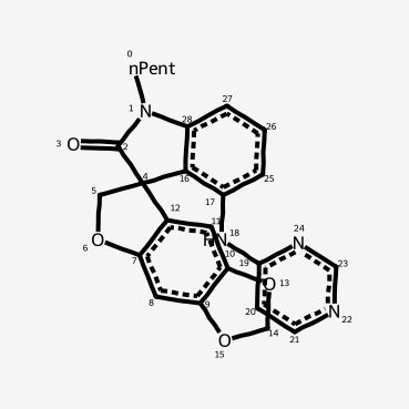 CCCCCN1C(=O)C2(COc3cc4c(cc32)OCO4)c2c(Nc3ccncn3)cccc21